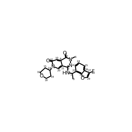 CC(Nc1nn(C)c(=O)c2cc(=O)n(C3CCOCC3)cc12)c1cccc2c(F)coc12